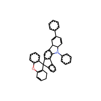 C1=CC2=C(CC1)C1(c3ccccc3O2)c2ccccc2-c2c1ccc1c2N(c2ccccc2)C2C=CC(c3ccccc3)=CC12